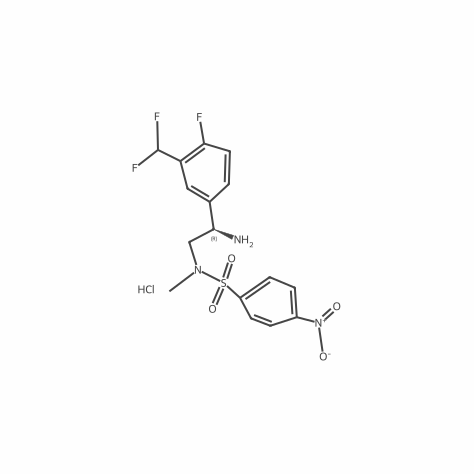 CN(C[C@H](N)c1ccc(F)c(C(F)F)c1)S(=O)(=O)c1ccc([N+](=O)[O-])cc1.Cl